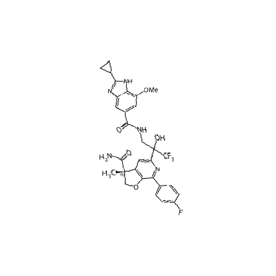 COc1cc(C(=O)NCC(O)(c2cc3c(c(-c4ccc(F)cc4)n2)OC[C@]3(C)C(N)=O)C(F)(F)F)cc2nc(C3CC3)[nH]c12